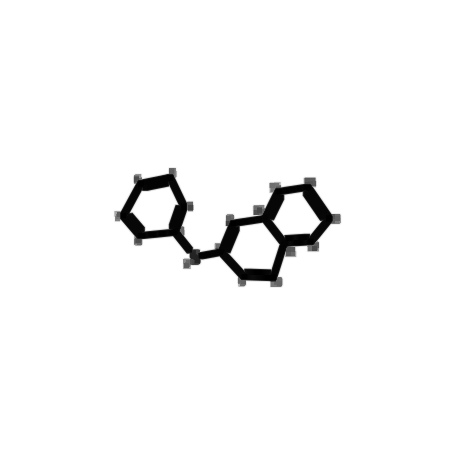 [c]1c(Sc2ccccc2)ccc2ccccc12